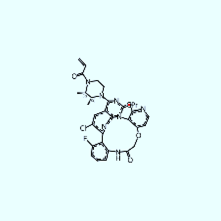 C=CC(=O)N1CCN(c2nc(=O)n3c4nc(c(Cl)cc24)-c2c(F)cccc2NC(=O)COc2ccnc(C(C)C)c2-3)[C@@H](C)[C@H]1C